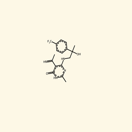 CC(=N)c1c(NCC(C)(O)c2ccc(C(F)(F)F)cc2)nc(C)[nH]c1=O